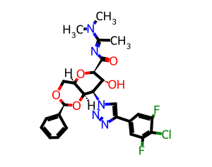 C/C(=N\C(=O)[C@@H]1O[C@@H]2CO[C@H](c3ccccc3)O[C@@H]2[C@H](n2cc(-c3cc(F)c(Cl)c(F)c3)nn2)[C@H]1O)N(C)C